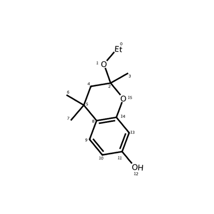 CCOC1(C)CC(C)(C)c2ccc(O)cc2O1